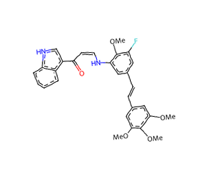 COc1cc(C=Cc2cc(F)c(OC)c(N/C=C\C(=O)c3c[nH]c4ccccc34)c2)cc(OC)c1OC